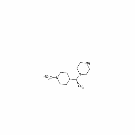 C[C@@H](C1CCN(C(=O)O)CC1)N1CCNCC1